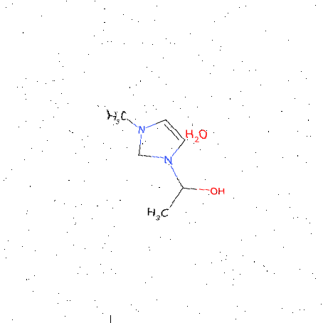 CC(O)N1C=CN(C)C1.O